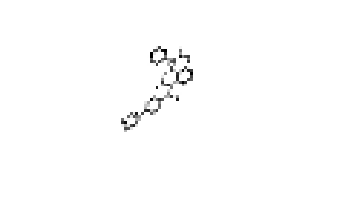 CC(=O)N(c1ccccc1)C1CC(C)N(C(=O)c2ccc(-n3cnnc3)cc2)c2ccccc21